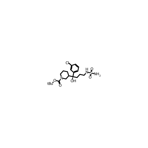 CC(C)(C)OC(=O)N1CCCC([C@@](O)(CCCNS(N)(=O)=O)c2cccc(Cl)c2)C1